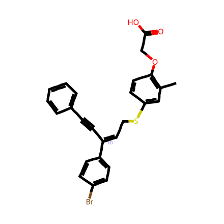 Cc1cc(SC/C=C(\C#Cc2ccccc2)c2ccc(Br)cc2)ccc1OCC(=O)O